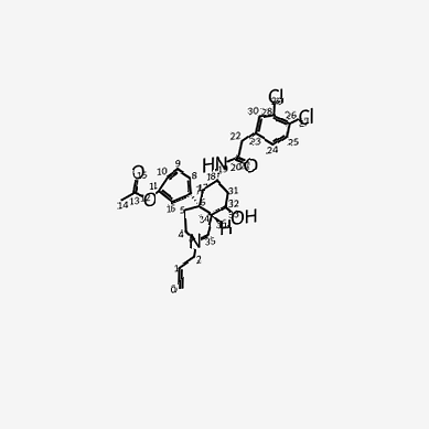 C=CCN1CC[C@@]2(c3cccc(OC(C)=O)c3)C[C@H](NC(=O)Cc3ccc(Cl)c(Cl)c3)CC(O)[C@@H]2C1